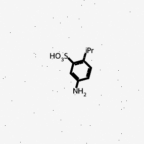 CC(C)c1ccc(N)cc1S(=O)(=O)O